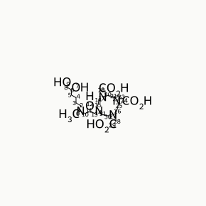 CN(CCCCC(O)CO)CC(O)CN1CCN(CC(=O)O)CCN(CC(=O)O)CCN(CC(=O)O)CC1